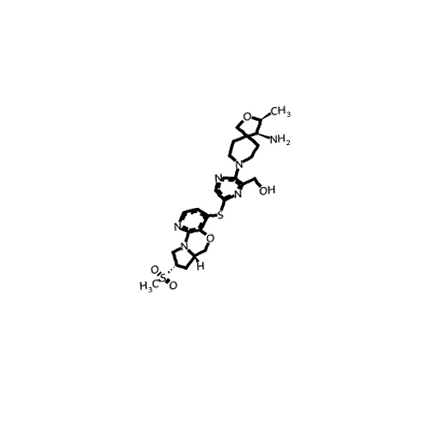 C[C@@H]1OCC2(CCN(c3ncc(Sc4ccnc5c4OC[C@@H]4C[C@H](S(C)(=O)=O)CN54)nc3CO)CC2)[C@@H]1N